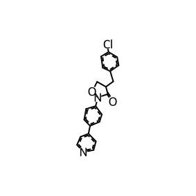 O=C1C(Cc2ccc(Cl)cc2)CON1c1ccc(-c2ccncc2)cc1